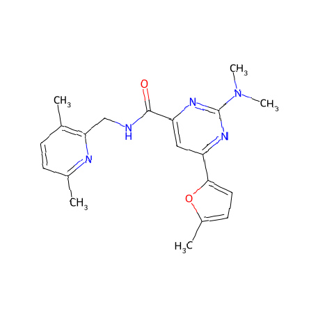 Cc1ccc(C)c(CNC(=O)c2cc(-c3ccc(C)o3)nc(N(C)C)n2)n1